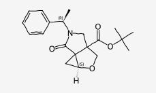 C[C@H](c1ccccc1)N1CC2(C(=O)OC(C)(C)C)CO[C@H]3CC32C1=O